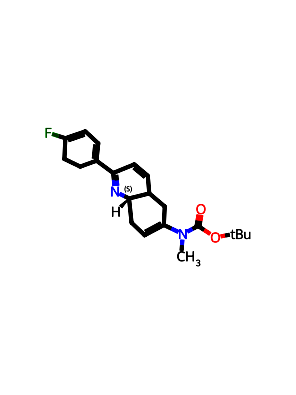 CN(C(=O)OC(C)(C)C)C1=CC[C@@H]2N=C(C3=CC=C(F)CC3)C=CC2C1